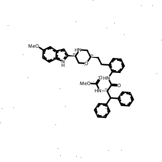 COC(=O)N[C@H](C(=O)Nc1ccccc1CC[C@@H]1CN[C@H](c2cc3cc(OC)ccc3[nH]2)CO1)C(c1ccccc1)c1ccccc1